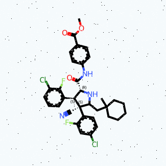 COC(=O)c1ccc(NC(=O)[C@@H]2NC(CC3(C)CCCCC3)[C@@](C#N)(c3ccc(Cl)cc3F)[C@H]2c2cccc(Cl)c2F)cc1